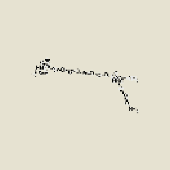 CC(C)[C@H](C)C1=C(NC(NC(=O)CCOCCOCCOCCOCCOCCOCCOCCOCCNC(=O)C(CCCCN)NC(=O)CCOCCOCCOCCN)C(=O)OC(C)(C)C)[C@@H](C)C1